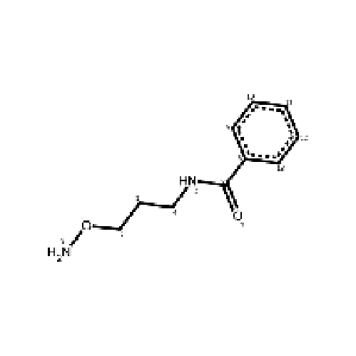 NOCCCNC(=O)c1ccccc1